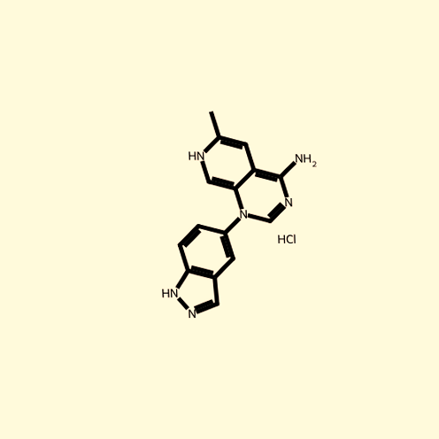 CC1=CC2=C(N)N=CN(c3ccc4[nH]ncc4c3)C2=CN1.Cl